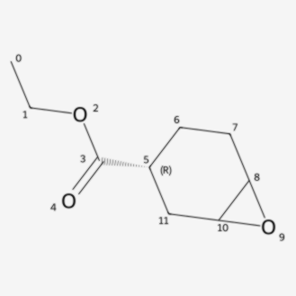 CCOC(=O)[C@@H]1CCC2OC2C1